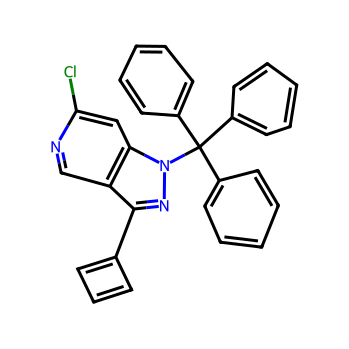 Clc1cc2c(cn1)c(C1=CC=C1)nn2C(c1ccccc1)(c1ccccc1)c1ccccc1